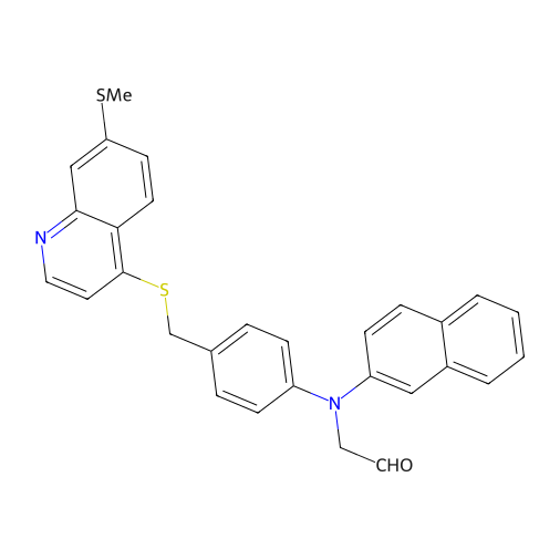 CSc1ccc2c(SCc3ccc(N(CC=O)c4ccc5ccccc5c4)cc3)ccnc2c1